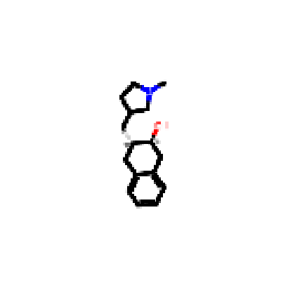 CN1CCC(C[C@H]2Cc3ccccc3C[C@@H]2O)C1